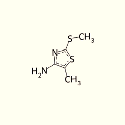 CSc1nc(N)c(C)s1